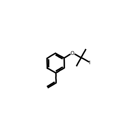 C=Cc1cccc(OC(C)(C)I)c1